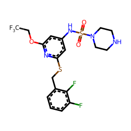 O=S(=O)(Nc1cc(OCC(F)(F)F)nc(SCc2cccc(F)c2F)c1)N1CCNCC1